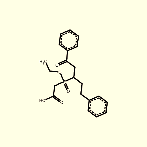 CCOP(=O)(CC(=O)O)C(CCc1ccccc1)CC(=O)c1ccccc1